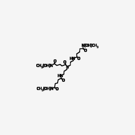 CN(O)C(=O)CCCC(=O)NCCCN(CCCNC(=O)CCCC(=O)N(C)O)C(=O)CCCC(=O)N(C)O